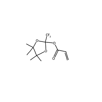 C=CC(=O)OC1(C(F)(F)F)OC(C)(C)C(C)(C)O1